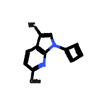 COc1ccc2c(C#N)cn(C3=CC=C3)c2n1